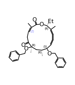 CC[C@H]1OC(=O)/C(C)=C\CC(=O)[C@](C)(OCc2ccccc2)C[C@@H](C)[C@H](OCc2ccccc2)C=C=C=C1C